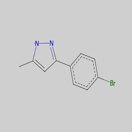 CC1=CC(c2ccc(Br)cc2)=N[N]1